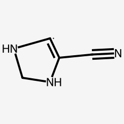 N#CC1=[C]NCN1